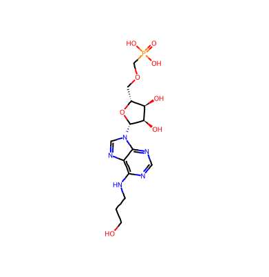 O=P(O)(O)COC[C@H]1O[C@@H](n2cnc3c(NCCCO)ncnc32)[C@H](O)[C@@H]1O